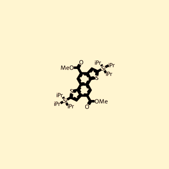 COC(=O)c1cc2c(cc(C(=O)OC)c3cc([Si](C(C)C)(C(C)C)C(C)C)sc32)c2sc([Si](C(C)C)(C(C)C)C(C)C)cc12